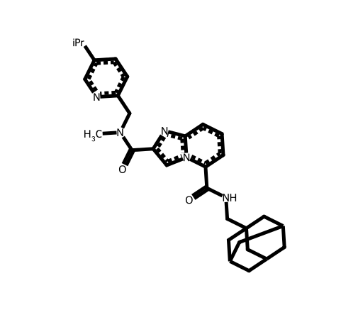 CC(C)c1ccc(CN(C)C(=O)c2cn3c(C(=O)NCC45CC6CC(CC(C6)C4)C5)cccc3n2)nc1